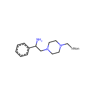 CCCCCCCCCCN1CCN(CC(N)c2ccccc2)CC1